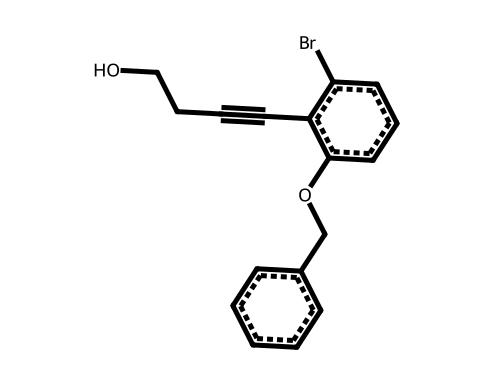 OCCC#Cc1c(Br)cccc1OCc1ccccc1